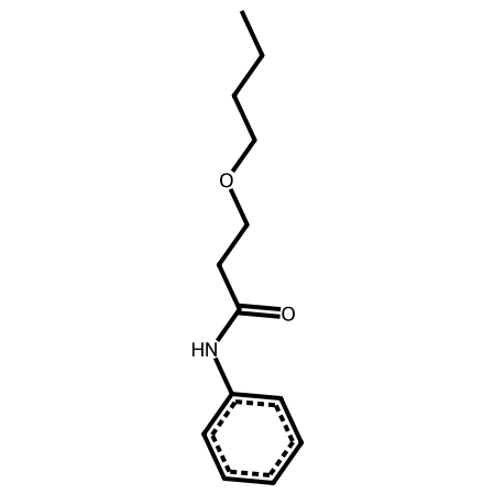 CCCCOCCC(=O)Nc1ccccc1